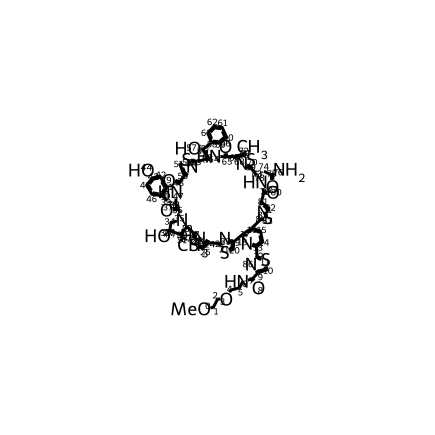 COCCOCCNC(=O)c1csc(-c2ccc3c(n2)-c2csc(n2)-c2csc(n2)[C@@H]2[C@@H](C)[C@@H](O)CN2C(=O)[C@H](Cc2ccc(O)cc2)NC(=O)c2csc(n2)[C@H]([C@H](O)c2ccccc2)NC(=O)c2nc(sc2C)[C@H](CC(N)=O)NC(=O)c2csc-3n2)n1